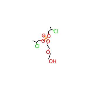 CC(Cl)COP(=O)(OCCOCCO)OCC(C)Cl